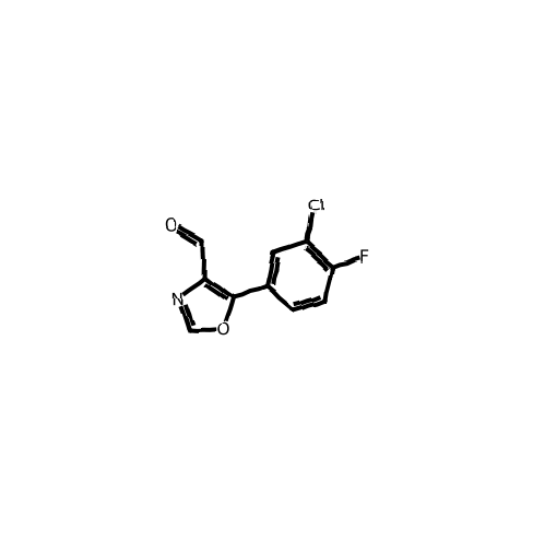 O=Cc1ncoc1-c1ccc(F)c(Cl)c1